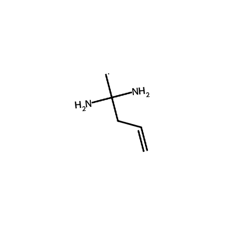 [CH2]C(N)(N)CC=C